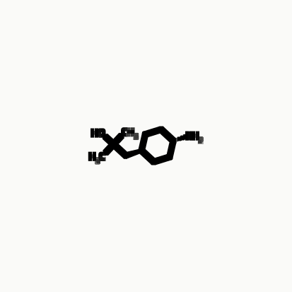 CC(C)(O)C[C@H]1CC[C@H](N)CC1